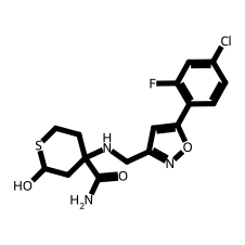 NC(=O)C1(NCc2cc(-c3ccc(Cl)cc3F)on2)CCSC(O)C1